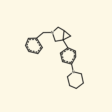 c1ccc(CN2CC3CC3(c3ccc(N4CCCCC4)cc3)C2)cc1